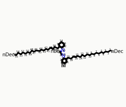 CCCCCCCCCCCCCCCCCCCCCCCCCC=CCCc1ccccc1N=CC(CCCC)=Nc1ccccc1CCC=CCCCCCCCCCCCCCCCCCCCCCCCCC.[Ni]